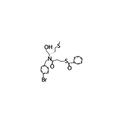 CSCC[C@@H](CO)N(Cc1ccc(Br)cc1)C(=O)CCSC(=O)c1ccccc1